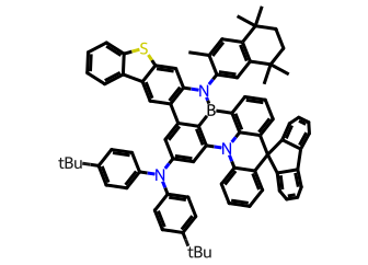 Cc1cc2c(cc1N1B3c4cccc5c4N(c4ccccc4C54c5ccccc5-c5ccccc54)c4cc(N(c5ccc(C(C)(C)C)cc5)c5ccc(C(C)(C)C)cc5)cc(c43)-c3cc4c(cc31)sc1ccccc14)C(C)(C)CCC2(C)C